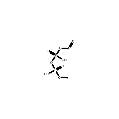 COP(=O)(O)OP(=O)(O)OP=O